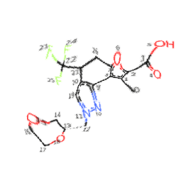 Cc1c(C(=O)O)oc2c1-c1nn(C[C@H]3COCCO3)cc1C(C(F)(F)F)C2